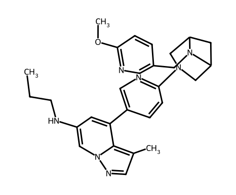 CCCNc1cc(-c2ccc(N3CC4CC(C3)N4Cc3ccc(OC)nc3)nc2)c2c(C)cnn2c1